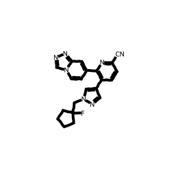 N#Cc1ccc(-c2cnn(CC3(F)CCCC3)c2)c(-c2ccn3cnnc3c2)n1